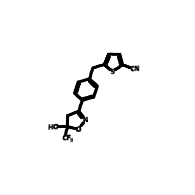 N#Cc1ccc(Cc2ccc(C3=NOC(O)(C(F)(F)F)C3)cc2)s1